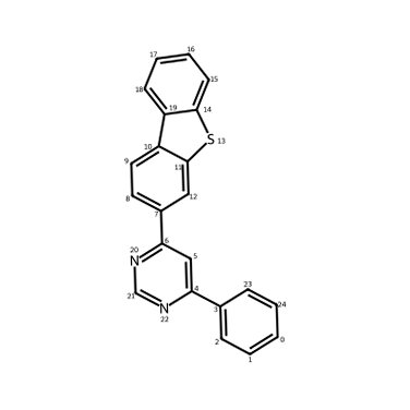 c1ccc(-c2cc(-c3ccc4c(c3)sc3ccccc34)ncn2)cc1